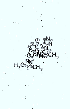 Cc1cc(C)n(CC(=O)Nc2cc(C(=O)c3cn(CC(C)(C)O)c4ncncc34)ccn2)n1